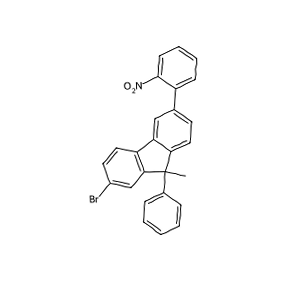 CC1(c2ccccc2)c2ccc(-c3ccccc3[N+](=O)[O-])cc2-c2ccc(Br)cc21